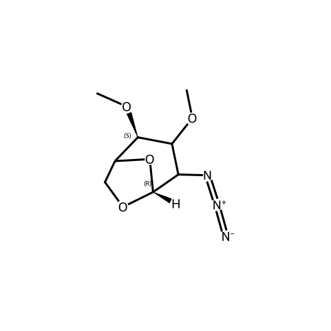 COC1C(N=[N+]=[N-])[C@@H]2OCC(O2)[C@H]1OC